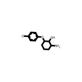 NC1CCCC(Oc2ccc(Cl)cc2)C1O